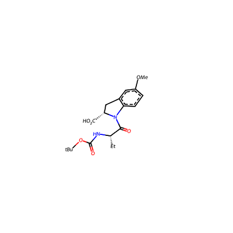 CC[C@H](NC(=O)OC(C)(C)C)C(=O)N1c2ccc(OC)cc2C[C@H]1C(=O)O